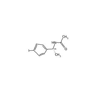 CC(=O)N[C@H](C)c1ccc(I)cc1